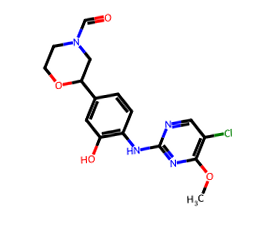 COc1nc(Nc2ccc(C3CN(C=O)CCO3)cc2O)ncc1Cl